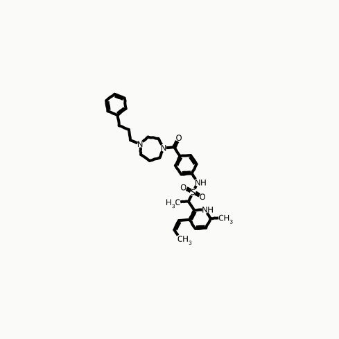 C/C=C\C1=C(C(C)S(=O)(=O)Nc2ccc(C(=O)N3CCCN(CCCc4ccccc4)CC3)cc2)NC(C)C=C1